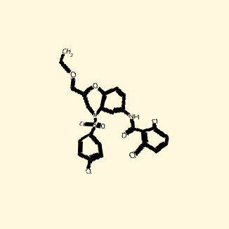 CCOCC1CN(S(=O)(=O)c2ccc(Cl)cc2)c2cc(NC(=O)c3c(Cl)cccc3Cl)ccc2O1